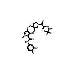 CC(NC(=O)C(=O)N1CCC2(COc3c(cn(C)c3C(=O)Nc3ccc(F)c(F)c3)SN2)C1)C(F)(F)F